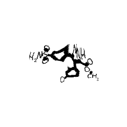 CCOC(=O)c1[nH]nc(-c2ccc(S(N)(=O)=O)cc2)c1-c1ccc(Cl)cc1